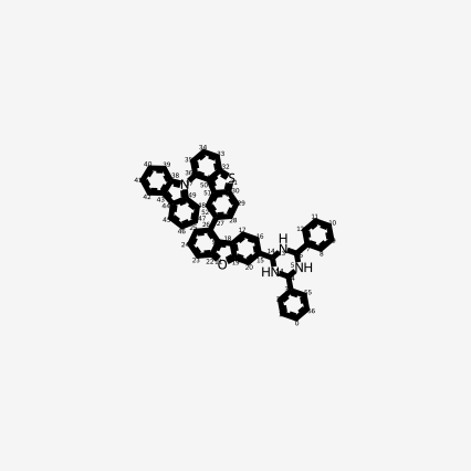 c1ccc(C2NC(c3ccccc3)NC(c3ccc4c(c3)oc3cccc(-c5ccc6sc7cccc(-n8c9ccccc9c9ccccc98)c7c6c5)c34)N2)cc1